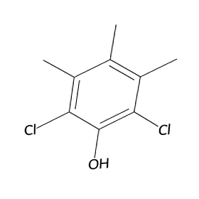 Cc1c(C)c(Cl)c(O)c(Cl)c1C